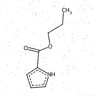 CCCOC(=O)c1ccc[nH]1